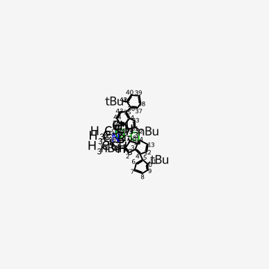 CCCCC1=Cc2c(-c3ccccc3C(C)(C)C)cccc2[CH]1[Zr]([Cl])([Cl])([BH]N([Si](C)(C)C)[Si](C)(C)C)[CH]1C(CCCC)=Cc2c(-c3ccccc3C(C)(C)C)cccc21